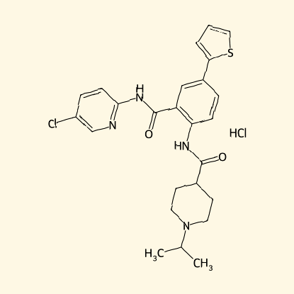 CC(C)N1CCC(C(=O)Nc2ccc(-c3cccs3)cc2C(=O)Nc2ccc(Cl)cn2)CC1.Cl